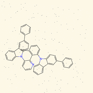 N#Cc1cccc(-n2c3ccccc3c3cc(-c4ccccc4)ccc32)c1-c1ncccc1-n1c2ccccc2c2cc(-c3ccccc3)ccc21